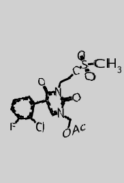 CC(=O)OCn1cc(-c2cccc(F)c2Cl)c(=O)n(CCCS(C)(=O)=O)c1=O